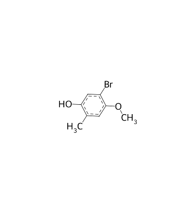 COc1cc(C)c(O)cc1Br